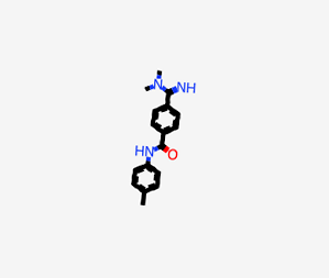 Cc1ccc(NC(=O)c2ccc(C(=N)N(C)C)cc2)cc1